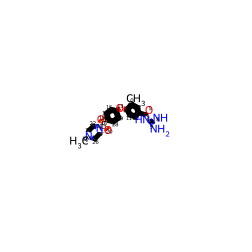 Cc1cc(C(=O)NC(=N)N)ccc1Oc1ccc(S(=O)(=O)N2CCN(C)CC2)cc1